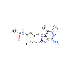 CCCc1nc2c(N)nc(C)c(C)c2n1CCCCNC(C)=O